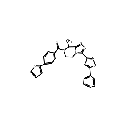 CC1c2nnc(-c3noc(-c4ccccc4)n3)n2CCN1C(=O)c1ccc(-c2cccs2)cc1